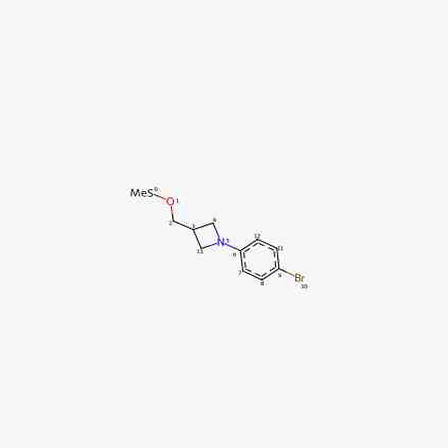 CSOCC1CN(c2ccc(Br)cc2)C1